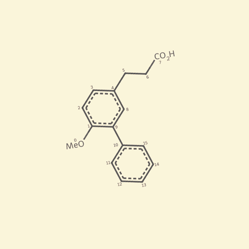 COc1ccc(CCC(=O)O)cc1-c1ccccc1